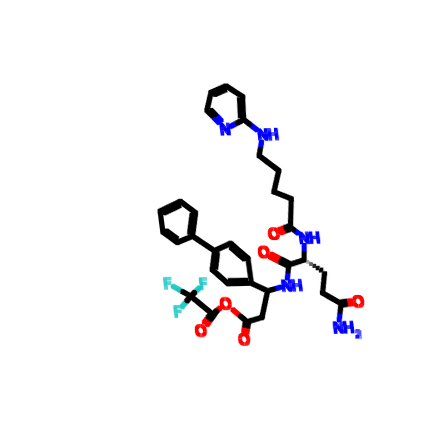 NC(=O)CC[C@@H](NC(=O)CCCCNc1ccccn1)C(=O)NC(CC(=O)OC(=O)C(F)(F)F)c1ccc(-c2ccccc2)cc1